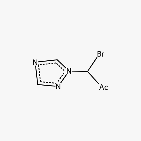 CC(=O)C(Br)n1cncn1